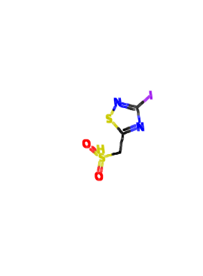 O=[SH](=O)Cc1nc(I)ns1